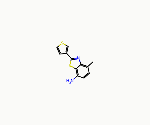 Cc1ccc(N)c2sc(-c3ccsc3)nc12